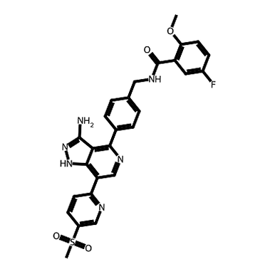 COc1ccc(F)cc1C(=O)NCc1ccc(-c2ncc(-c3ccc(S(C)(=O)=O)cn3)c3[nH]nc(N)c23)cc1